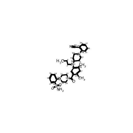 CCCN(c1cc(C(=O)N2CCN(c3ccccc3S(N)(=O)=O)CC2)c(C)cc1C)C1CCN(c2ccc#cc2C#N)CC1